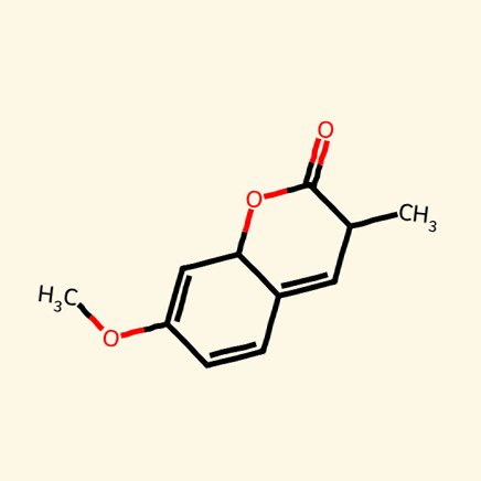 COC1=CC2OC(=O)C(C)C=C2C=C1